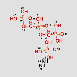 O=P(O)(O)O.O=P(O)(O)O.O=P(O)(O)O.O=P(O)(O)O.[KH].[Nd]